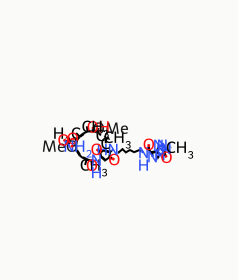 COC1C=CC=C(C)C(=O)NC2=CC(=O)C(NCCCCCCNC(=O)c3ncn4c(=O)n(C)nnc34)=C(CC(C)CC(OC)C(O)C(C)C=C(C)C1OC(N)=O)C2=O